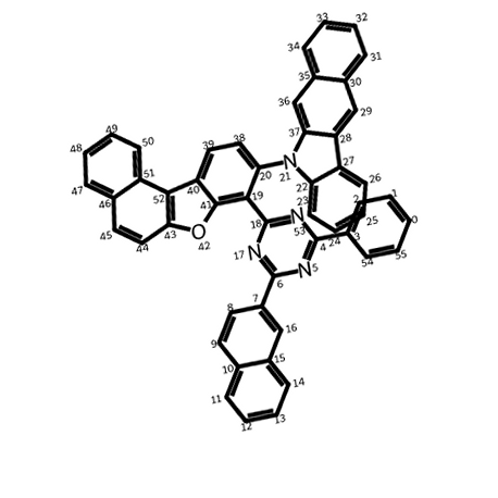 c1ccc(-c2nc(-c3ccc4ccccc4c3)nc(-c3c(-n4c5ccccc5c5cc6ccccc6cc54)ccc4c3oc3ccc5ccccc5c34)n2)cc1